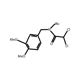 CCC(C)N(Cc1ccc(OC)c(OC)c1)C(=O)C(Cl)Cl